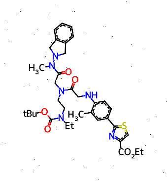 CCOC(=O)c1csc(-c2ccc(NCC(=O)N(CCN(CC)C(=O)OC(C)(C)C)CC(=O)N(C)N3Cc4ccccc4C3)c(C)c2)n1